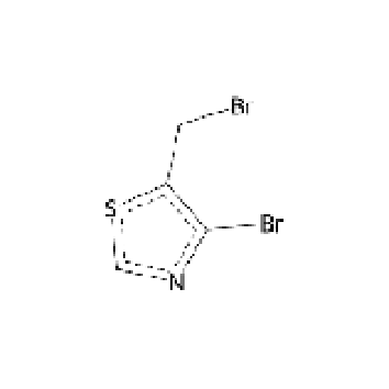 BrCc1scnc1Br